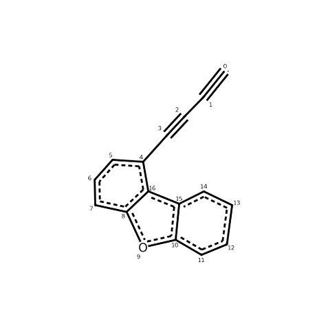 [C]#CC#Cc1cccc2oc3ccccc3c12